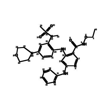 CCONC(=O)c1cnc(Nc2cnccn2)cc1Nc1ccc(N2CCOCC2)cc1N(C)S(C)(=O)=O